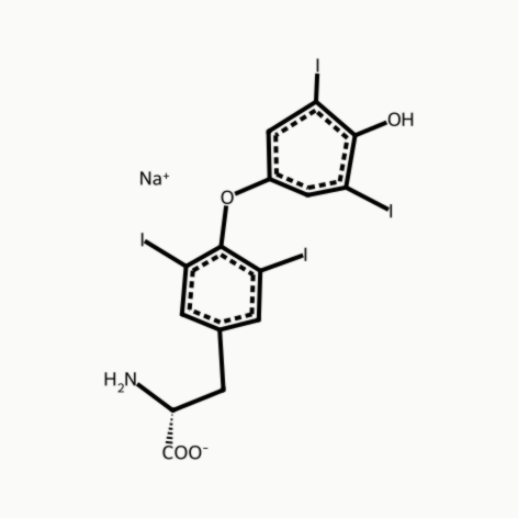 N[C@H](Cc1cc(I)c(Oc2cc(I)c(O)c(I)c2)c(I)c1)C(=O)[O-].[Na+]